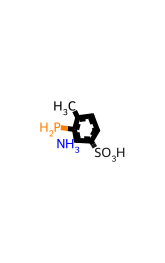 Cc1ccc(S(=O)(=O)O)cc1P.N